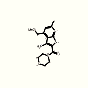 COCc1cc(C)nc2sc(C(=O)N3CCOCC3)c(N)c12